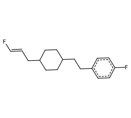 FC=CCC1CCC(CCc2ccc(F)cc2)CC1